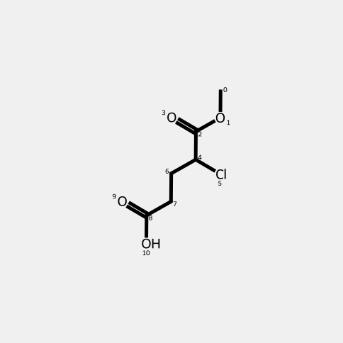 COC(=O)C(Cl)CCC(=O)O